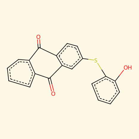 O=C1c2ccccc2C(=O)c2cc(Sc3ccccc3O)ccc21